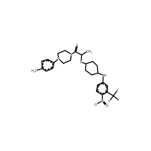 Cc1ccc(N2CCN(C(=S)C(C)OC3CCC(Nc4ccc([N+](=O)[O-])c(C(F)(F)F)c4)CC3)CC2)cc1